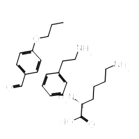 CCCOc1ccc(C=O)cc1.NCCCC[C@H](N)C(=O)O.NCCc1ccccc1